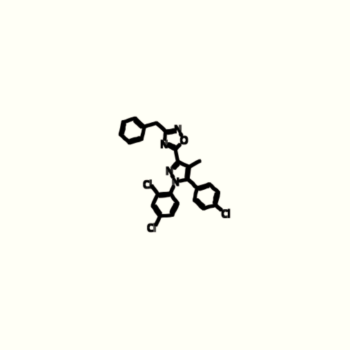 Cc1c(-c2nc(Cc3ccccc3)no2)nn(-c2ccc(Cl)cc2Cl)c1-c1ccc(Cl)cc1